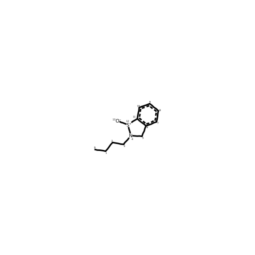 CCCCN1Cc2ccccc2[S+]1[O-]